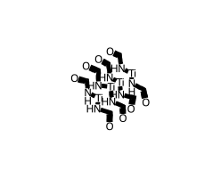 O=C[NH][Ti][NH]C=O.O=C[NH][Ti][NH]C=O.O=C[NH][Ti][NH]C=O.O=C[NH][Ti][NH]C=O